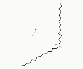 CCCCCCCCCCCCCC[N+](C)(C)CCCCCCCCCCCCCC.COS(=O)(=O)[O-]